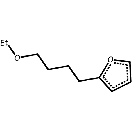 CCOCCCCc1ccco1